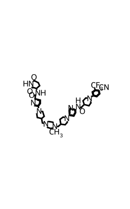 CC1CN(CC2CCN(c3ccc(C(=O)NC4CCC(=O)NC4=O)nc3)CC2)CCN1CC1CCN(c2ccc(NC(=O)C3CCN(c4ccc(C#N)c(C(F)(F)F)c4)CC3)nc2)CC1